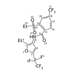 CCc1oc(C(F)(F)C(F)(F)F)cc1NC(=O)c1ccc(C(F)(F)F)cc1S(=O)(=O)CC